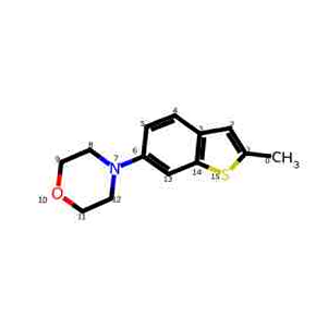 Cc1cc2ccc(N3CCOCC3)cc2s1